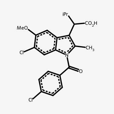 COc1cc2c(C(C(=O)O)C(C)C)c(C)n(C(=O)c3ccc(Cl)cc3)c2cc1Cl